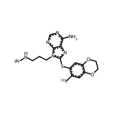 CC(C)NCCCn1c(Sc2cc3c(cc2[131I])OCCO3)nc2c(N)ncnc21